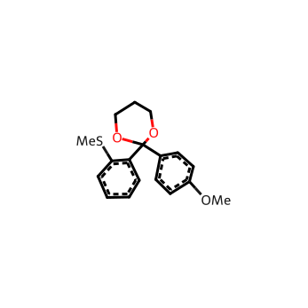 COc1ccc(C2(c3ccccc3SC)OCCCO2)cc1